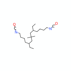 CCC(CCCCN=C=O)CC(C)(C)CC(CC)CCCCN=C=O